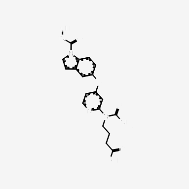 CNC(=O)n1ccc2cc(Oc3ccnc(N(CCCC(=O)O)C(N)=O)c3)ccc21